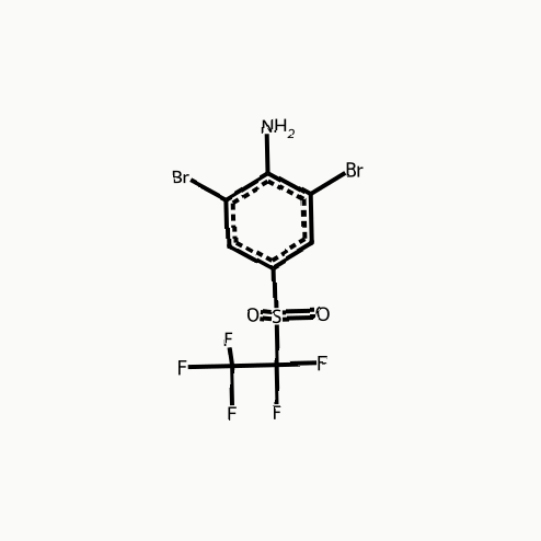 Nc1c(Br)cc(S(=O)(=O)C(F)(F)C(F)(F)F)cc1Br